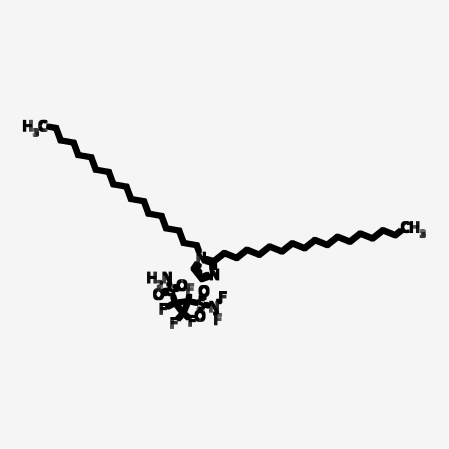 CCCCCCCCCCCCCCCCCCn1ccnc1CCCCCCCCCCCCCCCCC.NS(=O)(=O)C1(F)C(F)(F)C1(F)S(=O)(=O)N(F)F